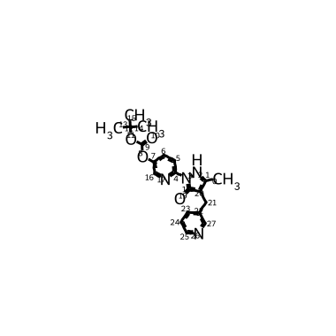 Cc1[nH]n(-c2ccc(OC(=O)OC(C)(C)C)cn2)c(=O)c1Cc1cccnc1